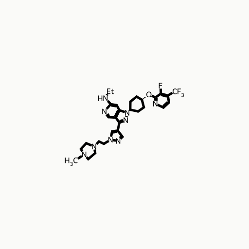 CCNc1cc2c(cn1)c(-c1cnn(CCN3CCN(C)CC3)c1)nn2[C@H]1CC[C@@H](Oc2nccc(C(F)(F)F)c2F)CC1